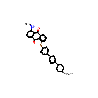 CCCCCC1CCC(c2ccc(-c3ccc(Sc4cccc5c4C(=O)c4cccc(NCCC)c4C5=O)cc3)cc2)CC1